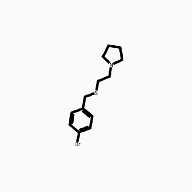 Brc1ccc(CSCCN2CCCC2)cc1